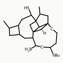 BC1CC(CCCC)CCCC23CC(C)C45CC(C2)(C1CC1CC(C)C1CC4S)[C@H]35